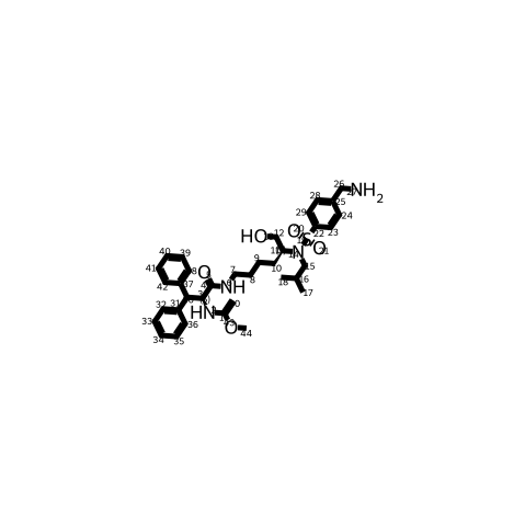 C=C(N[C@H](C(=O)NCCCC[C@@H](CO)N(CC(C)C)S(=O)(=O)c1ccc(CN)cc1)C(c1ccccc1)c1ccccc1)OC